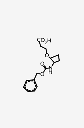 O=C(O)CCOC1CCC1NC(=O)OCc1ccccc1